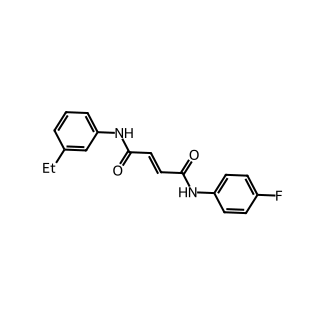 CCc1cccc(NC(=O)C=CC(=O)Nc2ccc(F)cc2)c1